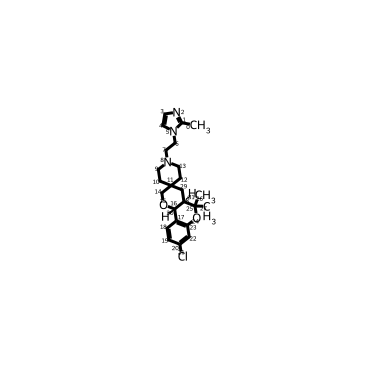 Cc1nccn1CCN1CCC2(CC1)CO[C@H]1c3ccc(Cl)cc3OC(C)(C)[C@@H]1C2